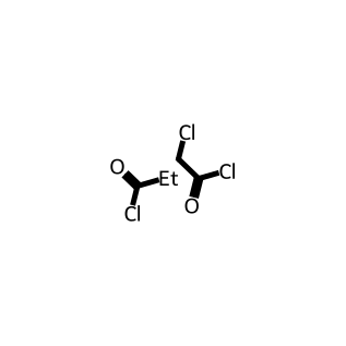 CCC(=O)Cl.O=C(Cl)CCl